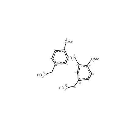 COc1ccc(CC(=O)O)cc1.COc1ccc(CC(=O)O)cc1[N+](=O)[O-]